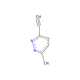 C#Cc1ccc(C#N)nn1